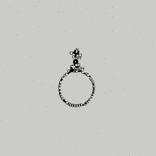 CSC1=C(N[C@@H](Cc2ccc(NC(=O)c3c(Cl)cncc3Cl)cc2)C(=O)O)C2(CCCCCCCCCCCCCCCCCCCCCCCCCCCCCCCCCCCCCCCCCCCCCCCCCCC2)C1=O